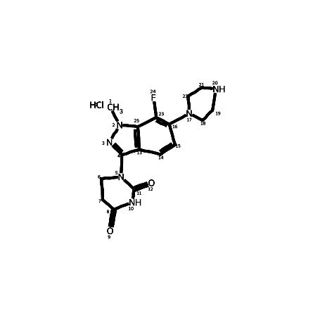 Cl.Cn1nc(N2CCC(=O)NC2=O)c2ccc(N3CCNCC3)c(F)c21